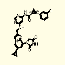 O=C1CN(c2cc(C3CC3)cn3cc(CNc4cc(NC(=O)[C@H]5C[C@@H]5c5cccc(Cl)c5)ncn4)nc23)C(=O)N1